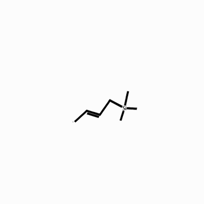 [CH2]C=CC[Si](C)(C)C